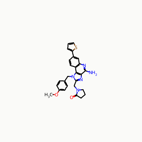 COc1ccc(Cn2c(CN3CCCC3=O)nc3c(N)nc4cc(-c5cccs5)ccc4c32)cc1